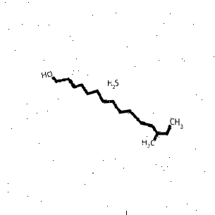 CCC(C)CCCCCCCCCCCCO.S